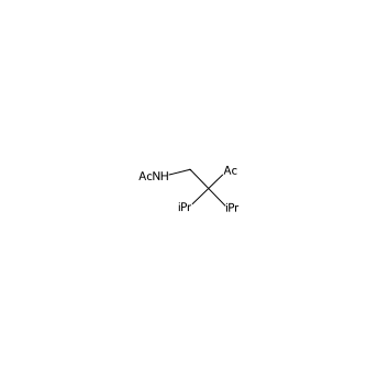 CC(=O)NCC(C(C)=O)(C(C)C)C(C)C